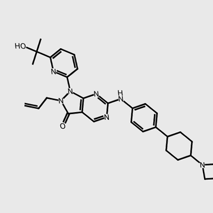 C=CCn1c(=O)c2cnc(Nc3ccc(C4CCC(N5CCC5)CC4)cc3)nc2n1-c1cccc(C(C)(C)O)n1